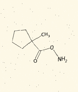 CC1(C(=O)ON)CCCC1